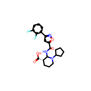 O=C(NC1[C@@H](C(=O)O)CCCN1C1CCCC1)c1cc(-c2cccc(F)c2F)no1